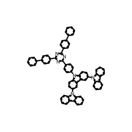 c1ccc(-c2ccc(-c3nc(-c4ccc(-c5ccccc5)cc4)nc(-c4ccc(-n5c6ccc(-n7c8ccccc8c8ccccc87)cc6c6cc(-n7c8ccccc8c8ccccc87)ccc65)cc4)n3)cc2)cc1